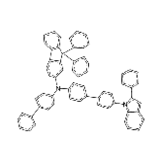 c1ccc(-c2ccc(N(c3ccc(-c4ccc(-n5c(-c6ccccc6)cc6ccccc65)cc4)cc3)c3ccc4c(c3)C(c3ccccc3)(c3ccccc3)c3ccccc3-4)cc2)cc1